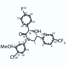 COc1cc(N(CCc2ccc(C(F)(F)F)cn2)C(=O)[C@H](O)c2ccc(F)cc2)ccc1Cl